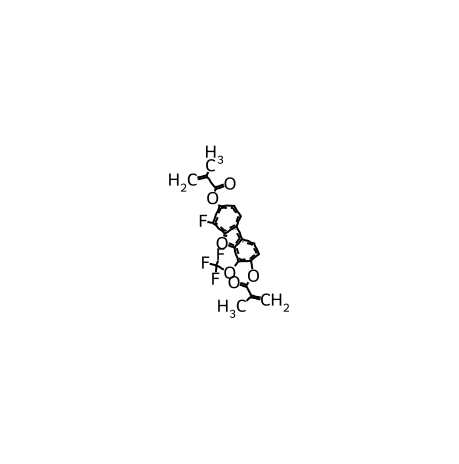 C=C(C)C(=O)Oc1ccc2c(oc3c(OC(F)(F)F)c(OC(=O)C(=C)C)ccc32)c1F